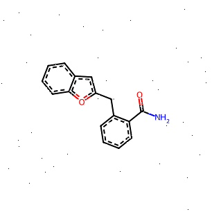 NC(=O)c1ccccc1[CH]c1cc2ccccc2o1